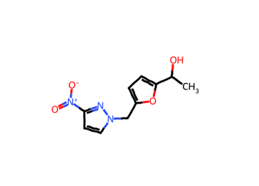 CC(O)c1ccc(Cn2ccc([N+](=O)[O-])n2)o1